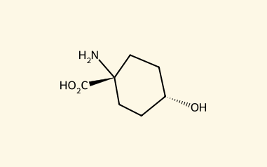 N[C@]1(C(=O)O)CC[C@H](O)CC1